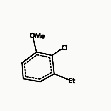 CCc1cccc(OC)c1Cl